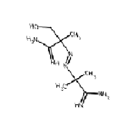 CC(C)(N=NC(C)(CO)C(=N)N)C(=N)N